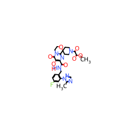 COC(=O)C(=O)N1CCC2(CC1)OCCn1c2nc(C(=O)NCc2ccc(F)cc2-n2ncnc2C)c(O)c1=O